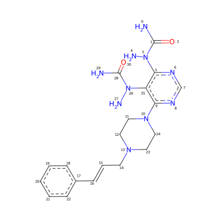 NC(=O)N(N)c1ncnc(N2CCN(C/C=C/c3ccccc3)CC2)c1N(N)C(N)=O